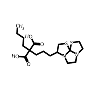 CCCCC(CCCC1CSC23SCCN2CCN13)(C(=O)O)C(=O)O